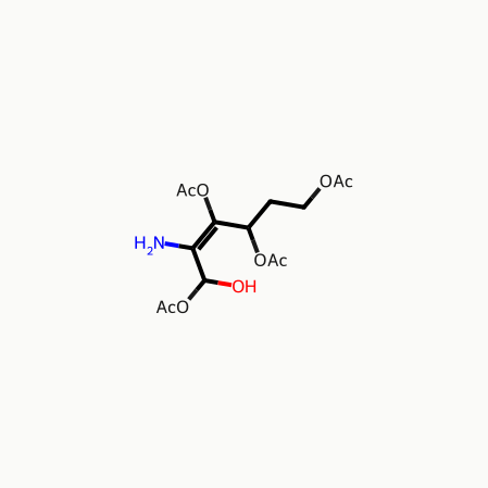 CC(=O)OCCC(OC(C)=O)/C(OC(C)=O)=C(/N)C(O)OC(C)=O